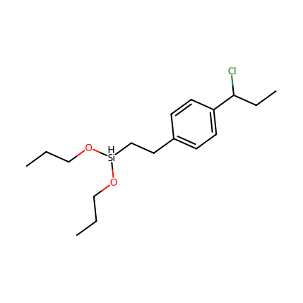 CCCO[SiH](CCc1ccc(C(Cl)CC)cc1)OCCC